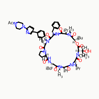 CC[C@H](C)[C@@H]1NC(=O)[C@@H]2CCCN2C(=O)[C@H](Cc2cccc(-c3ccc(N4CCN(C(C)=O)CC4)nc3)c2)N(C)C(=O)[C@H](Cc2ccccc2)NC(=O)C(C(C)C)N(C)C(=O)[C@@H]([C@@H](C)CC)OC(=O)[C@H](C(C)(C)O)N(C)C(=O)[C@H](CC(C)C)NC(=O)C(C(C)C)N(C)C1=O